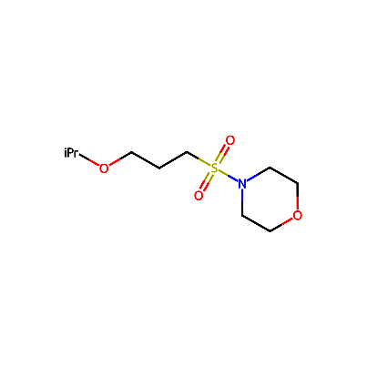 CC(C)OCCCS(=O)(=O)N1CCOCC1